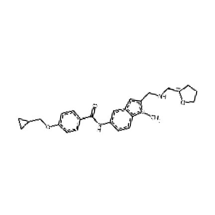 Cn1c(CNC[C@H]2CCCO2)cc2cc(NC(=O)c3ccc(OCC4CC4)cc3)ccc21